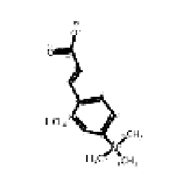 C[N+](C)(C)c1ccc(C=CC(=O)[O-])cc1.Cl